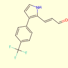 O=CC=Cc1[nH]ccc1-c1ccc(C(F)(F)F)cc1